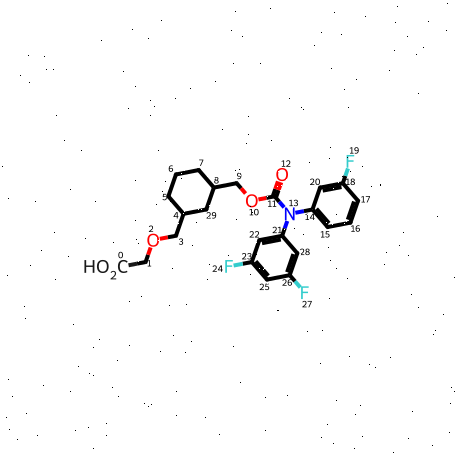 O=C(O)COCC1CCCC(COC(=O)N(c2cccc(F)c2)c2cc(F)cc(F)c2)C1